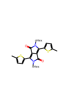 CCCCCCN1C(=O)C2=C(c3ccc(C)s3)N(CCCCCC)C(=O)C2=C1c1ccc(C)s1